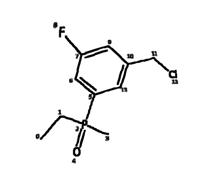 CCP(C)(=O)c1cc(F)cc(CCl)c1